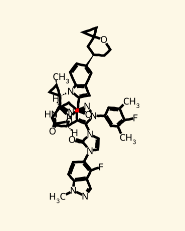 Cc1cc(-n2nc3c(c2-n2ccn(-c4ccc5c(cnn5C)c4F)c2=O)[C@H]2CC[C@@H](C3)N2C(=O)c2cc3cc([C@@H]4CCOC5(CC5)C4)ccc3n2[C@]2(c3noc(=O)[nH]3)C[C@@H]2C)cc(C)c1F